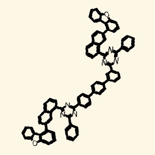 c1ccc(-c2nc(-c3ccc(-c4ccc(-c5cccc(-c6nc(-c7ccccc7)nc(-c7cccc8ccc(-c9cccc%10oc%11ccccc%11c9%10)cc78)n6)c5)cc4)cc3)nc(-c3cccc4ccc(-c5cccc6oc7ccccc7c56)cc34)n2)cc1